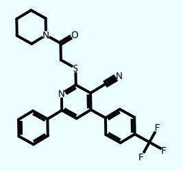 N#Cc1c(-c2ccc(C(F)(F)F)cc2)cc(-c2ccccc2)nc1SCC(=O)N1CCCCC1